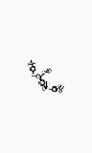 CCS(=O)(=O)c1ccc(CNC(=O)c2ccc(N3C[C@H](Oc4ccc(C(F)(F)F)cc4)C[C@H]3COC3COC3)nc2)cc1